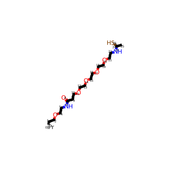 CC(C)CCOCCNC(=O)CCOCCOCCOCCOCCNC(C)S